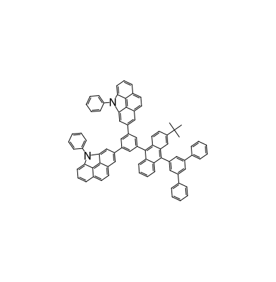 CC(C)(C)c1ccc2c(-c3cc(-c4cc5ccc6cccc7c6c5c(c4)n7-c4ccccc4)cc(-c4cc5ccc6cccc7c6c5c(c4)n7-c4ccccc4)c3)c3ccccc3c(-c3cc(-c4ccccc4)cc(-c4ccccc4)c3)c2c1